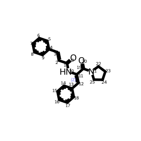 O=C(C=Cc1ccccc1)N/C(=C\c1ccccc1)C(=O)N1CCCC1